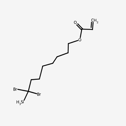 C=CC(=O)OCCCCCCCC([SiH3])(Br)Br